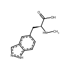 CN[C@@H](Cc1ccc2[nH]ncc2c1)C(=O)O